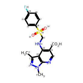 Cc1nn(C)c2ncc(C(=O)O)c(NCS(=O)(=O)c3ccc(F)cc3)c12